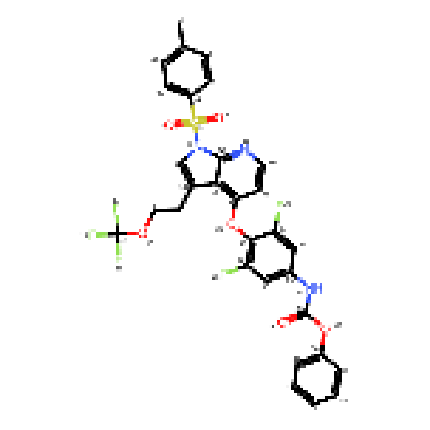 Cc1ccc(S(=O)(=O)n2cc(CCOC(F)(F)F)c3c(Oc4c(F)cc(NC(=O)Oc5ccccc5)cc4F)ccnc32)cc1